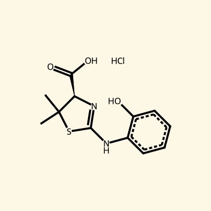 CC1(C)SC(Nc2ccccc2O)=N[C@@H]1C(=O)O.Cl